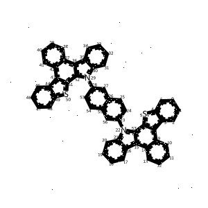 c1ccc2c(c1)sc1c2c2ccccc2c2c3ccccc3n(-c3ccc4cc(-n5c6ccccc6c6c7ccccc7c7c8ccccc8sc7c65)ccc4c3)c12